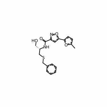 Cc1ccc(-c2cc(C(=O)N[C@@H](CO)CSCc3ccccc3)no2)o1